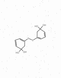 OC1(O)C=CC=C(SSC2=CC=CC(O)(O)C2)C1